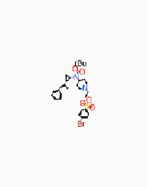 C/C(=C\c1ccccc1)[C@@H]1C[C@H]1N(C(=O)OC(C)(C)C)C1CCN(CCOS(=O)(=O)c2ccc(Br)cc2)CC1